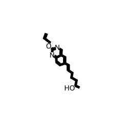 C=CCOc1ncc2cc(C=CCCCC(C)O)ccc2n1